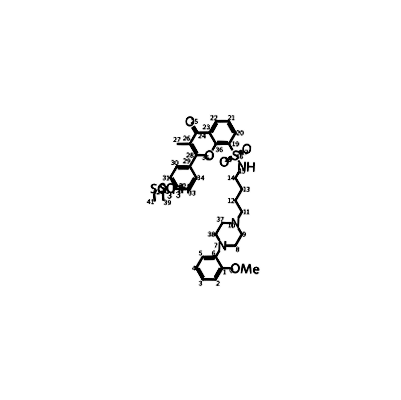 COc1ccccc1N1CCN(CCCCNS(=O)(=O)c2cccc3c(=O)c(C)c(-c4ccccc4)oc23)CC1.CS(=O)(=O)O.CS(=O)(=O)O